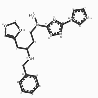 CN(CCC(CC1=COCO1)NCc1ccccc1)c1nc(-n2ccnc2)ns1